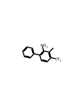 Cc1c(C(F)(F)F)ccc(-c2ccccc2)c1[N+](=O)[O-]